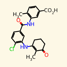 CC1=C(Nc2cc(C(=O)Nc3cc(C(=O)O)ccc3C)ccc2Cl)CCCC1=O